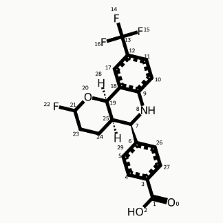 O=C(O)c1ccc([C@@H]2Nc3ccc(C(F)(F)F)cc3[C@@H]3OC(F)CC[C@H]23)cc1